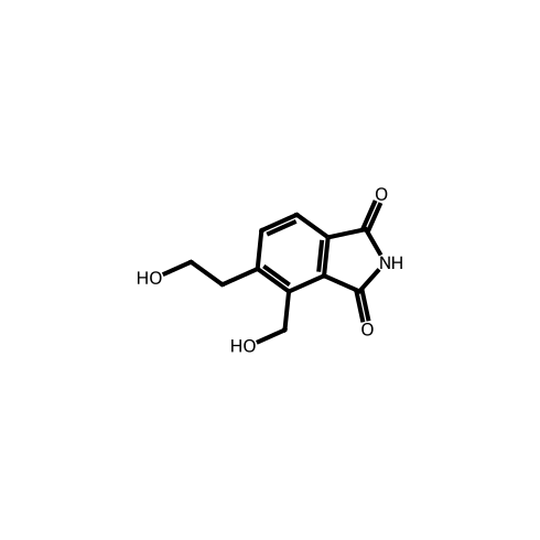 O=C1NC(=O)c2c1ccc(CCO)c2CO